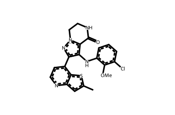 COc1c(Cl)cccc1Nc1c(-c2ccnc3cc(C)sc23)nn2c1C(=O)NCC2